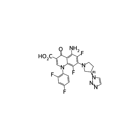 Nc1c(F)c(N2CC[C@@H](n3ccnn3)C2)c(F)c2c1c(=O)c(C(=O)O)cn2-c1ccc(F)cc1F